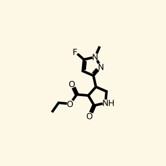 CCOC(=O)C1C(=O)NCC1c1cc(F)n(C)n1